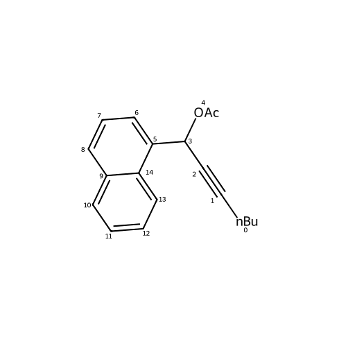 CCCCC#CC(OC(C)=O)c1cccc2ccccc12